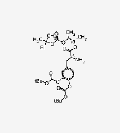 CCC(C)(C)OC(=O)OC(C)[C@H](C)OC(=O)[C@@H](N)Cc1ccc(OC(=O)OC(C)(C)C)c(OC(=O)OC(C)(C)C)c1